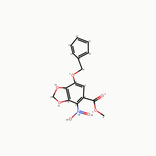 COC(=O)c1cc(OCc2ccccc2)c2c(c1[N+](=O)[O-])OCO2